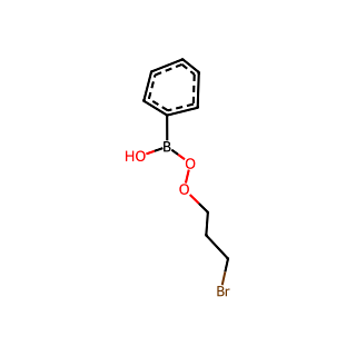 OB(OOCCCBr)c1ccccc1